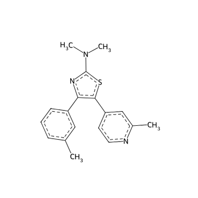 Cc1cccc(-c2nc(N(C)C)sc2-c2ccnc(C)c2)c1